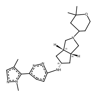 Cc1cnn(C)c1-c1ccc(N[C@@H]2C[C@@H]3CN(C4CCOC(C)(C)C4)C[C@@H]3C2)nn1